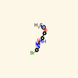 CN1CCC(Oc2ccc(-c3ccc(NC(=O)c4cn(Cc5ccc(Br)cc5)nn4)cc3)cc2)CC1